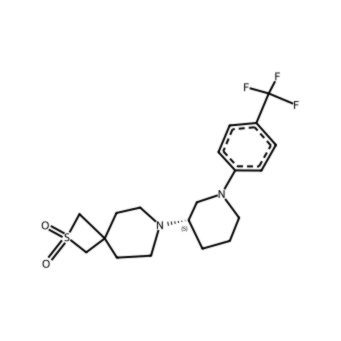 O=S1(=O)CC2(CCN([C@H]3CCCN(c4ccc(C(F)(F)F)cc4)C3)CC2)C1